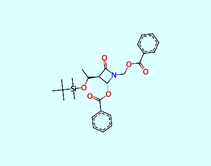 CC(O[Si](C)(C)C(C)(C)C)[C@H]1C(=O)N(COC(=O)c2ccccc2)[C@@H]1OC(=O)c1ccccc1